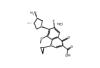 COc1c(N2C[C@H](C)[C@@H](N)C2)c(F)cc2c(=O)c(C(=O)O)cn(C3CC3)c12.Cl